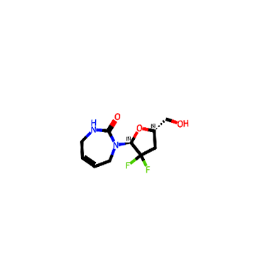 O=C1NCC=CCN1[C@H]1O[C@H](CO)CC1(F)F